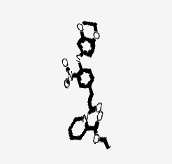 CCOC(=O)C1CCCCN1C(=O)C=Cc1ccc(Sc2ccc3c(c2)OCCO3)c([N+](=O)[O-])c1